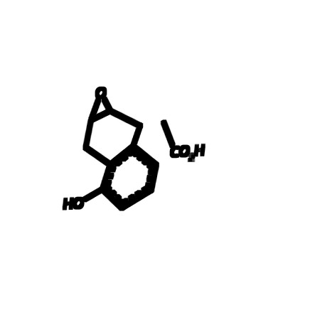 CC(=O)O.Oc1cccc2c1CC1OC1C2